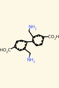 NCc1cc(C(=O)O)ccc1-c1ccc(C(=O)O)cc1CN